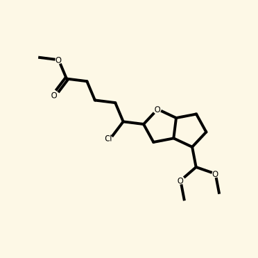 COC(=O)CCCC(Cl)C1CC2C(CCC2C(OC)OC)O1